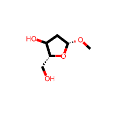 CO[C@H]1CC(O)[C@@H](CO)O1